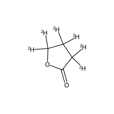 [2H]C1([2H])OC(=O)C([2H])([2H])C1([2H])[2H]